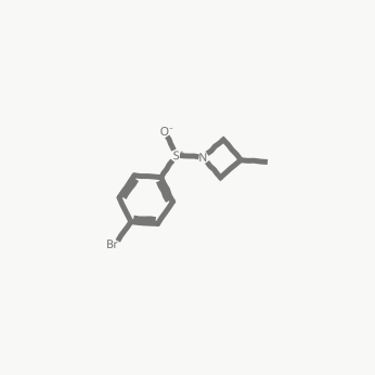 CC1CN([S+]([O-])c2ccc(Br)cc2)C1